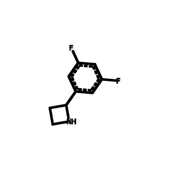 Fc1cc(F)cc(C2CCN2)c1